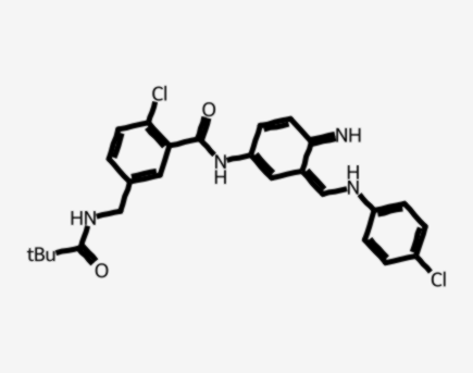 CC(C)(C)C(=O)NCc1ccc(Cl)c(C(=O)NC2=C/C(=C/Nc3ccc(Cl)cc3)C(=N)C=C2)c1